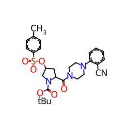 Cc1ccc(S(=O)(=O)OC2CC(C(=O)N3CCN(c4ccccc4C#N)CC3)N(C(=O)OC(C)(C)C)C2)cc1